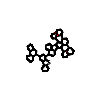 c1ccc(-c2ccc(-c3ccccc3)c3c(-c4ccccc4)c4c(c(-c5ccccc5)c23)-c2cccc3c(-c5cc(-c6cc7ccccc7c7ccccc67)cc6c5sc5ccccc56)ccc-4c23)cc1